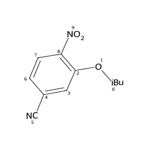 CCC(C)Oc1cc(C#N)ccc1[N+](=O)[O-]